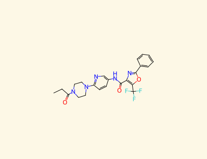 CCC(=O)N1CCN(c2ccc(NC(=O)c3nc(-c4ccccc4)oc3C(F)(F)F)cn2)CC1